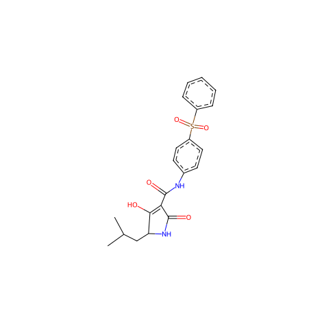 CC(C)CC1NC(=O)C(C(=O)Nc2ccc(S(=O)(=O)c3ccccc3)cc2)=C1O